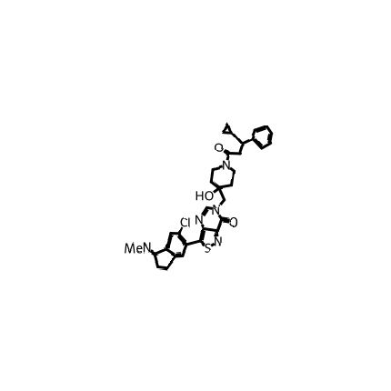 CNC1CCc2cc(-c3snc4c(=O)n(CC5(O)CCN(C(=O)CC(c6ccccc6)C6CC6)CC5)cnc34)c(Cl)cc21